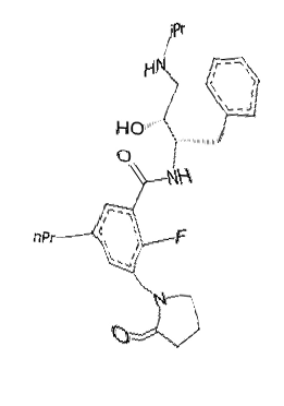 CCCc1cc(C(=O)N[C@@H](Cc2ccccc2)[C@H](O)CNC(C)C)c(F)c(N2CCCC2=O)c1